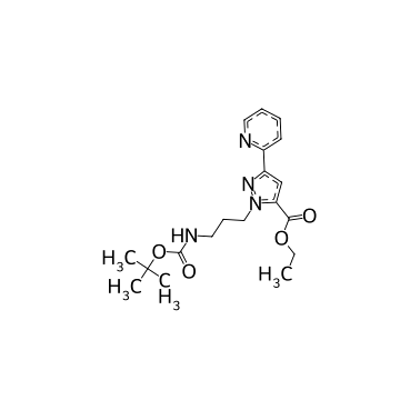 CCOC(=O)c1cc(-c2ccccn2)nn1CCCNC(=O)OC(C)(C)C